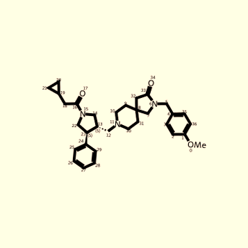 COc1ccc(CN2CC3(CCN(C[C@H]4CN(C(=O)CC5CC5)C[C@@H]4c4ccccc4)CC3)CC2=O)cc1